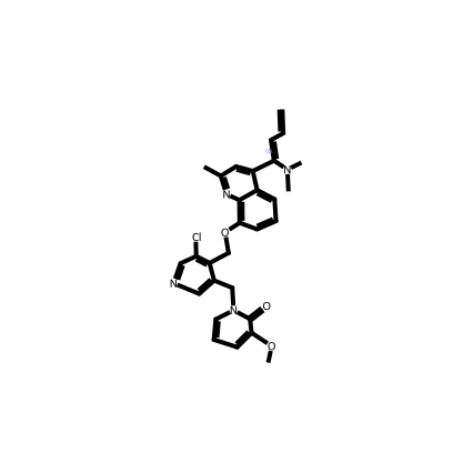 C=C/C=C(/c1cc(C)nc2c(OCc3c(Cl)cncc3Cn3cccc(OC)c3=O)cccc12)N(C)C